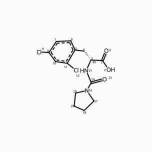 O=C(O)[C@@H](Cc1ccc(Cl)cc1Cl)NC(=O)N1CCCC1